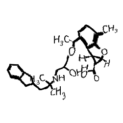 Cc1ccc([C@@H](C)OCC(O)CNC(C)(C)CC2Cc3ccccc3C2)c2c1O[C@@H]1[C@@H](C(=O)O)[C@H]21